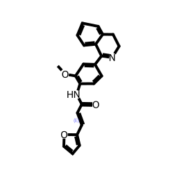 COc1cc(C2=NCCc3ccccc32)ccc1NC(=O)/C=C/c1ccco1